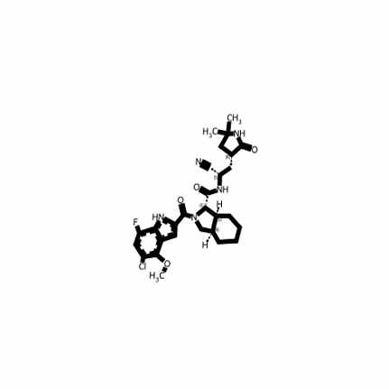 COc1c(Cl)cc(F)c2[nH]c(C(=O)N3C[C@@H]4CCCC[C@@H]4[C@H]3C(=O)N[C@H](C#N)C[C@@H]3CC(C)(C)NC3=O)cc12